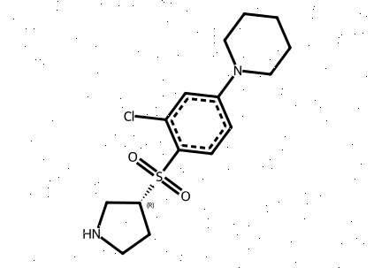 O=S(=O)(c1ccc(N2CCCCC2)cc1Cl)[C@@H]1CCNC1